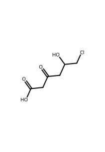 O=C(O)CC(=O)CC(O)CCl